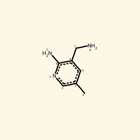 Cc1cnc(N)c(CN)c1